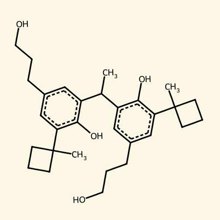 CC(c1cc(CCCO)cc(C2(C)CCC2)c1O)c1cc(CCCO)cc(C2(C)CCC2)c1O